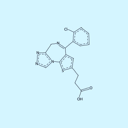 O=C(O)CCc1cc2c(s1)-n1cnnc1CN=C2c1ccccc1Cl